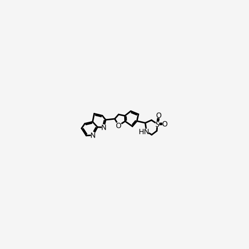 O=S1(=O)CCNC(c2ccc3c(c2)OC(c2ccc4cccnc4n2)C3)C1